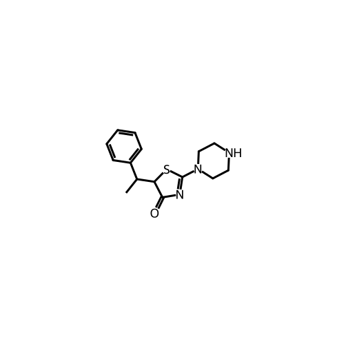 CC(c1ccccc1)C1SC(N2CCNCC2)=NC1=O